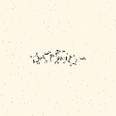 COC(C(=O)NCc1ccc(C#N)cc1)c1ccc(N2CCCC2)cc1